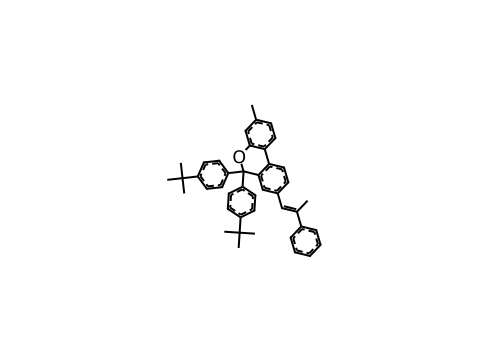 CC(=Cc1ccc2c(c1)C(c1ccc(C(C)(C)C)cc1)(c1ccc(C(C)(C)C)cc1)Oc1cc(C)ccc1-2)c1ccccc1